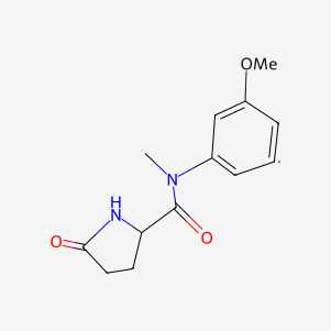 COc1c[c]cc(N(C)C(=O)C2CCC(=O)N2)c1